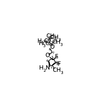 Cc1c(N)cc(OCCO[Si](C)(C)C(C)(C)C)c(F)c1F